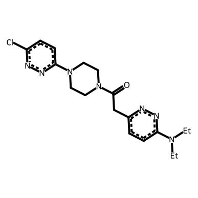 CCN(CC)c1ccc(CC(=O)N2CCN(c3ccc(Cl)nn3)CC2)nn1